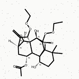 C=C1C(OOCC)[C@]23C([C@H](OC(C)=O)C[C@@H]1[C@H]2O)C12CO[C@]3(O)[C@H](OOCC)C1C(C)(C)CC[C@@H]2O